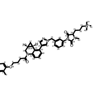 Cc1c(Cl)cccc1OCCCC(=O)N1C[C@@H]2C[C@@H]2c2c(-c3cnn(Cc4cccc(N5C(=O)C(CCC[N+](C)(C)C)N(C)C5=O)c4)c3)cccc21